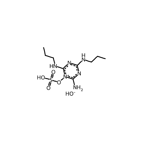 CCCNc1nc(N)[n+](OS(=O)(=O)O)c(NCCC)n1.[OH-]